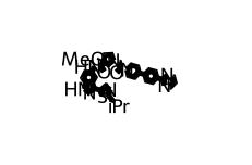 CO[C@@]1(C(=O)Nc2ccc3[nH]nc(-c4cnc(CC(C)C)s4)c3c2)CCN(CC(=O)N2CC=C(c3ccc(-c4ncccn4)cc3)CC2)C1